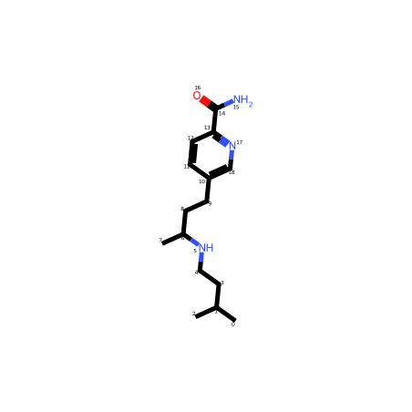 CC(C)CCNC(C)CCc1ccc(C(N)=O)nc1